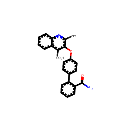 CCCc1nc2ccccc2c(C(=O)O)c1Oc1ccc(-c2ccccc2C(N)=O)cc1